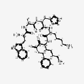 C[C@H](NC(=O)[C@@H](N)Cc1c[nH]c2ccccc12)C(=O)N[C@@H](Cc1c[nH]cn1)C(=O)N[C@@H](CCCCN)C(=O)N[C@@H](CCCCN)C(=O)C(=O)OCc1ccccc1